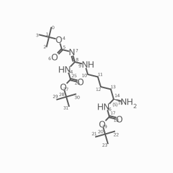 CC(C)(C)OC(=O)N=C(NCCCC[C@@H](N)NC(=O)OC(C)(C)C)NC(=O)OC(C)(C)C